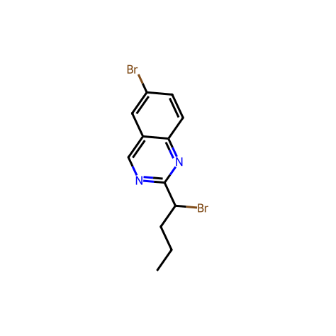 CCCC(Br)c1ncc2cc(Br)ccc2n1